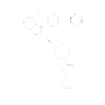 CN(C)C/C=C/C(=O)N1CCCC(C#Cc2c(-c3ccc(Oc4ccccc4)cc3)c3c(N)ncnc3n2C)CC1